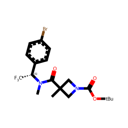 CN(C(=O)C1(C)CN(C(=O)OC(C)(C)C)C1)[C@@H](c1ccc(Br)cc1)C(F)(F)F